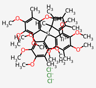 COc1c(C)c(OC)c([Si](c2c(OC)c(C)c(OC)c(OC)c2OC)(c2c(OC)c(C)c(OC)c(OC)c2OC)C2(C)C(C)=C(C)C(C)=[C]2[Ti+3])c(OC)c1OC.[Cl-].[Cl-].[Cl-]